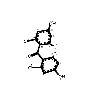 O=C(c1c(Cl)cc(O)cc1Cl)c1c(Cl)cc(O)cc1Cl